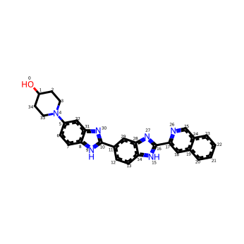 OC1CCN(c2ccc3[nH]c(-c4ccc5[nH]c(-c6cc7ccccc7cn6)nc5c4)nc3c2)CC1